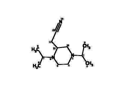 CC(C)N1CCN(C(C)C)C(CC#N)C1